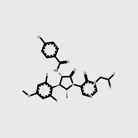 COc1cc(F)c([C@H]2[C@H](NC(=O)c3ccc(Cl)cc3)C(=O)N(c3cncn(CC(F)F)c3=O)[C@@H]2C)c(F)c1